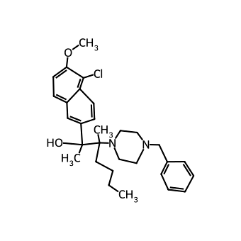 CCCCC(C)(N1CCN(Cc2ccccc2)CC1)C(C)(O)c1ccc2c(Cl)c(OC)ccc2c1